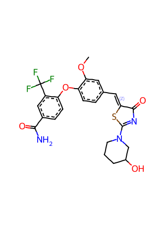 COc1cc(/C=C2\SC(N3CCCC(O)C3)=NC2=O)ccc1Oc1ccc(C(N)=O)cc1C(F)(F)F